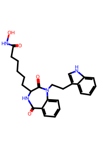 O=C(CCCCCC1NC(=O)c2ccccc2N(CCc2c[nH]c3ccccc23)C1=O)NO